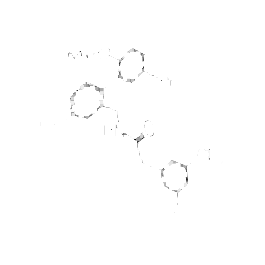 COc1ccc(C(C)C)cc1-c1ccc(C(F)(F)F)cc1CNC(=O)Cc1cc(C(F)(F)F)cc(C(F)(F)F)c1